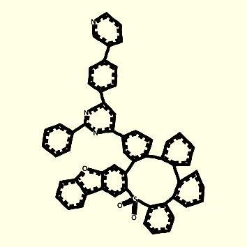 O=S1(=O)c2ccccc2-c2ccccc2-c2ccccc2-c2ccc(-c3cc(-c4ccc(-c5cccnc5)cc4)nc(-c4ccccc4)n3)cc2-c2cc3oc4ccccc4c3cc21